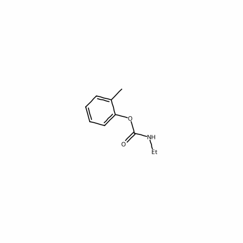 CCNC(=O)Oc1ccccc1C